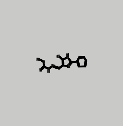 CC(C)SC(=S)NN=Cc1nc(-c2ccccc2)[nH]c1Cl